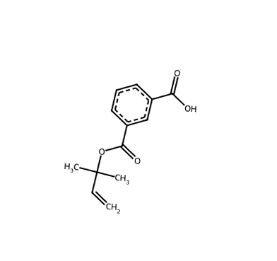 C=CC(C)(C)OC(=O)c1cccc(C(=O)O)c1